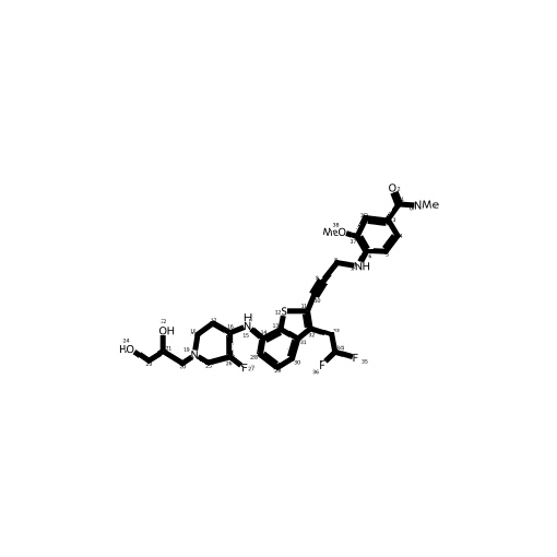 CNC(=O)c1ccc(NCC#Cc2sc3c(NC4CCN(CC(O)CO)CC4F)cccc3c2CC(F)F)c(OC)c1